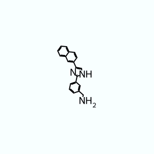 NCc1cccc(-c2nc(-c3ccc4ccccc4c3)c[nH]2)c1